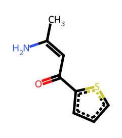 CC(N)=CC(=O)c1cccs1